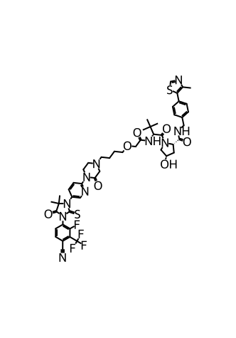 Cc1ncsc1-c1ccc(CNC(=O)[C@@H]2C[C@@H](O)CN2C(=O)[C@@H](NC(=O)COCCCCN2CCN(c3ccc(N4C(=S)N(c5ccc(C#N)c(C(F)(F)F)c5F)C(=O)C4(C)C)cn3)C(=O)C2)C(C)(C)C)cc1